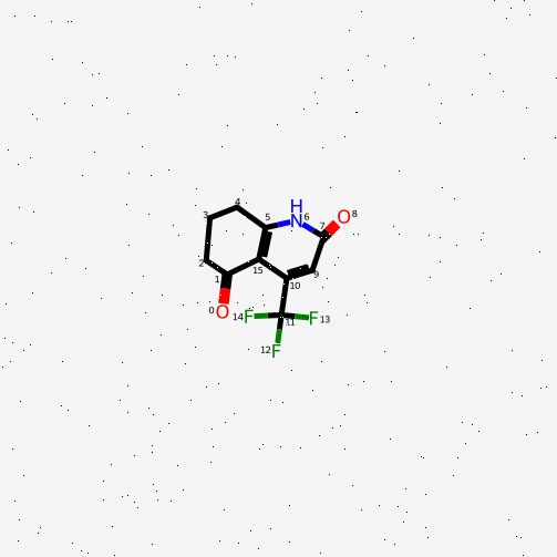 O=C1CCCc2[nH]c(=O)cc(C(F)(F)F)c21